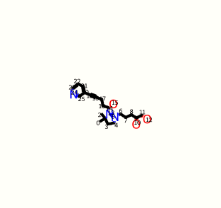 CC1(C)CCN(CCCC(=O)C=O)N1C(=O)CCC#Cc1cccnc1